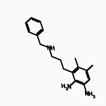 Cc1cc(N)c(N)c(CCCNCc2ccccc2)c1C